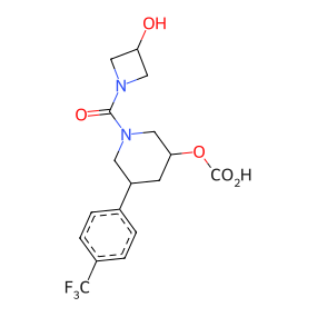 O=C(O)OC1CC(c2ccc(C(F)(F)F)cc2)CN(C(=O)N2CC(O)C2)C1